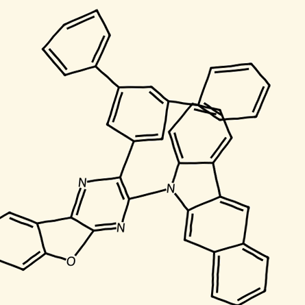 c1ccc(-c2cc(-c3ccccc3)cc(-c3nc4c(nc3-n3c5ccccc5c5cc6ccccc6cc53)oc3ccccc34)c2)cc1